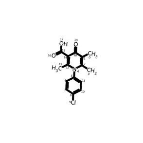 Cc1c(C)n(-c2ccc(Cl)cc2)c(C)c(C(=O)O)c1=O